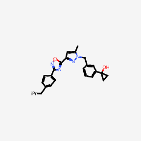 Cc1cc(-c2nc(-c3ccc(CC(C)C)cc3)no2)nn1Cc1cccc(C2(O)CC2)c1